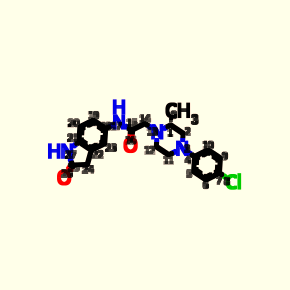 C[C@@H]1CN(c2ccc(Cl)cc2)CCN1CC(=O)Nc1ccc2c(c1)CC(=O)N2